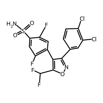 NS(=O)(=O)c1cc(F)c(-c2c(-c3ccc(Cl)c(Cl)c3)noc2C(F)F)cc1F